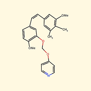 COc1ccc(/C=C\c2cc(C)c(C)c(OC)c2)cc1OCOc1ccncc1